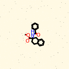 COC(=O)C1(NC(=O)c2ccccc2)CCc2ccccc2C1